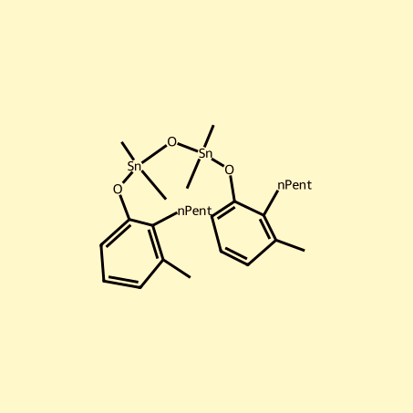 CCCCCc1c(C)cccc1[O][Sn]([CH3])([CH3])[O][Sn]([CH3])([CH3])[O]c1cccc(C)c1CCCCC